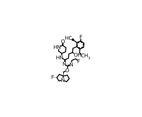 C#Cc1c(F)ccc(CC)c1CC(O)CC/C(=N\C(=N/CCF)OC[C@@]12CCCN1C[C@H](F)C2)NC1CCC(=O)NC1